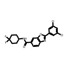 O=C(NC1CCC(F)(F)CC1)c1ccc2nc(-c3cc(Cl)cc(Cl)c3)oc2c1